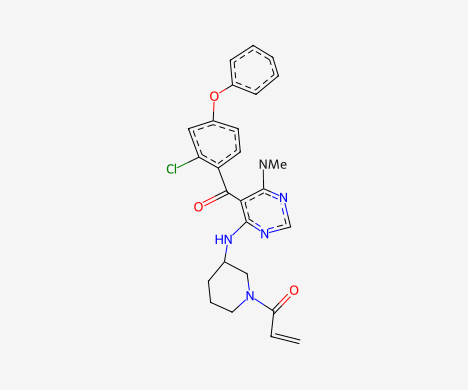 C=CC(=O)N1CCCC(Nc2ncnc(NC)c2C(=O)c2ccc(Oc3ccccc3)cc2Cl)C1